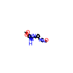 CC(=O)Oc1ccc2c(-c3cc4c(CN5CCN(C(C)=O)CC5)cccc4[nH]3)n[nH]c2c1